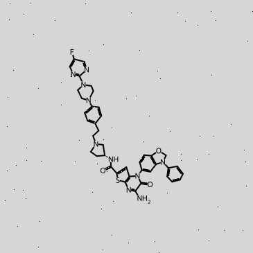 Nc1nc2sc(C(=O)N[C@@H]3CCN(CCc4ccc(N5CCN(c6ncc(F)cn6)CC5)cc4)C3)cc2n(-c2ccc3c(c2)N(c2ccccc2)CO3)c1=O